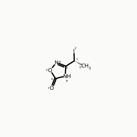 C[C@@H](I)c1noc(=O)[nH]1